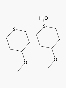 COC1CCSCC1.COC1CCSCC1.O